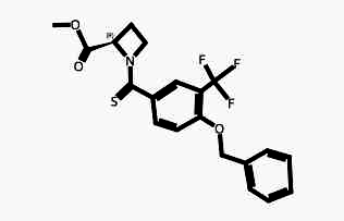 COC(=O)[C@H]1CCN1C(=S)c1ccc(OCc2ccccc2)c(C(F)(F)F)c1